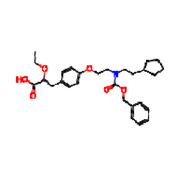 CCOC(Cc1ccc(OCCN(CCC2CCCC2)C(=O)OCc2ccccc2)cc1)C(=O)O